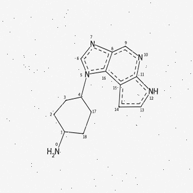 NC1CCC(n2cnc3cnc4[nH]ccc4c32)CC1